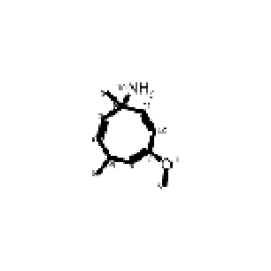 COC1=C/C(C)/C=C\C(C)(N)/C=C\1